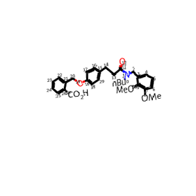 CCCCN(Cc1cccc(OC)c1OC)C(=O)CCc1ccc(OCc2ccccc2C(=O)O)cc1